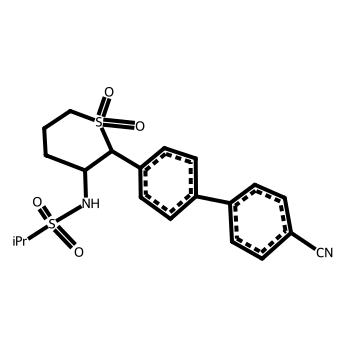 CC(C)S(=O)(=O)NC1CCCS(=O)(=O)C1c1ccc(-c2ccc(C#N)cc2)cc1